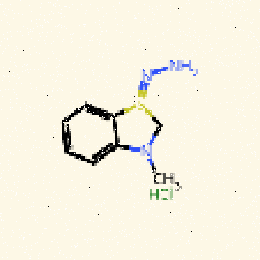 CN1C/S(=N\N)c2ccccc21.Cl